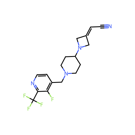 N#CC=C1CN(C2CCN(Cc3ccnc(C(F)(F)F)c3F)CC2)C1